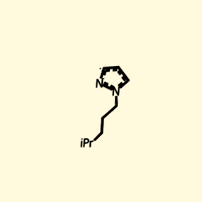 CC(C)CCCn1cc[c]n1